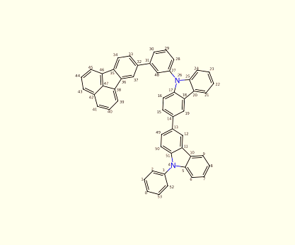 c1ccc(-n2c3ccccc3c3cc(-c4ccc5c(c4)c4ccccc4n5-c4cccc(-c5ccc6c(c5)-c5cccc7cccc-6c57)c4)ccc32)cc1